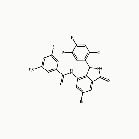 O=C(Nc1cc(Br)cc2c1C(c1cc(F)c(F)cc1Cl)NC2=O)c1cc(F)cc(C(F)(F)F)c1